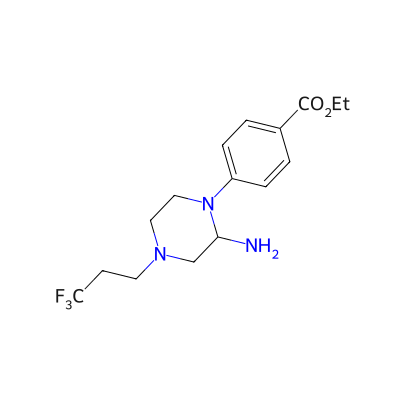 CCOC(=O)c1ccc(N2CCN(CCC(F)(F)F)CC2N)cc1